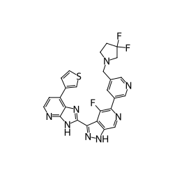 Fc1c(-c2cncc(CN3CCC(F)(F)C3)c2)ncc2[nH]nc(-c3nc4c(-c5ccsc5)ccnc4[nH]3)c12